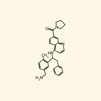 Cc1ccc(CN)cc1C(Cc1ccccc1)Nc1ccnc2cc(C(=O)N3CCCC3)ccc12